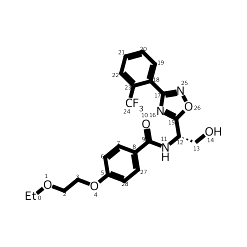 CCOCCOc1ccc(C(=O)N[C@@H](CO)c2nc(-c3ccccc3C(F)(F)F)no2)cc1